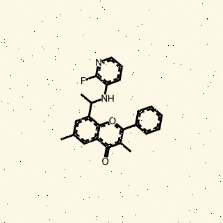 Cc1cc(C(C)Nc2cccnc2F)c2oc(-c3ccccc3)c(C)c(=O)c2c1